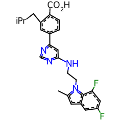 Cc1cc2cc(F)cc(F)c2n1CCNc1cc(-c2ccc(C(=O)O)c(CC(C)C)c2)ncn1